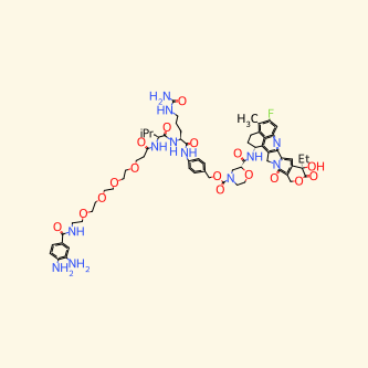 CC[C@]1(O)C(=O)OCc2c1cc1n(c2=O)Cc2c-1nc1cc(F)c(C)c3c1c2[C@H](NC(=O)[C@H]1CN(C(=O)OCc2ccc(NC(=O)[C@H](CCCNC(N)=O)NC(=O)[C@@H](NC(=O)CCOCCOCCOCCOCCNC(=O)c4ccc(N)c(N)c4)C(C)C)cc2)CCO1)CC3